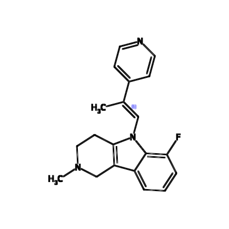 C/C(=C\n1c2c(c3cccc(F)c31)CN(C)CC2)c1ccncc1